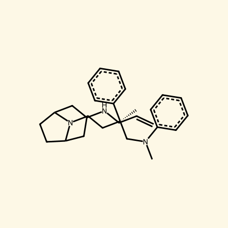 C=CCNC1CC2CCC(C1)N2CC[C@](C)(CN(C)c1ccccc1)c1ccccc1